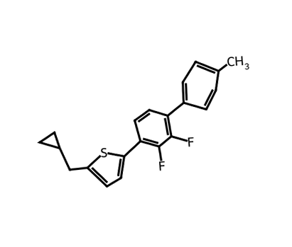 Cc1ccc(-c2ccc(-c3ccc(CC4CC4)s3)c(F)c2F)cc1